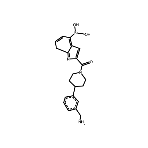 NCc1cccc(C2CCN(C(=O)C3=CC4=C(B(O)O)C=CCC4=N3)CC2)c1